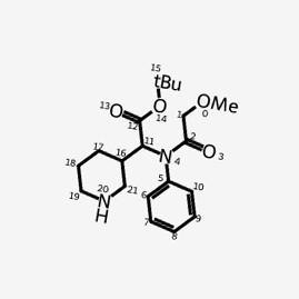 COCC(=O)N(c1ccccc1)C(C(=O)OC(C)(C)C)C1CCCNC1